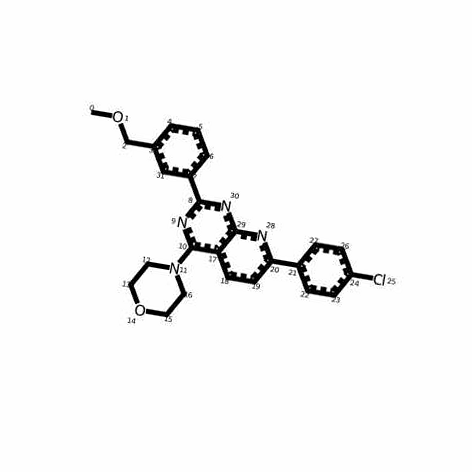 COCc1cccc(-c2nc(N3CCOCC3)c3ccc(-c4ccc(Cl)cc4)nc3n2)c1